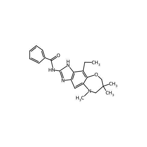 CCc1c2c(cc3nc(NC(=O)c4ccccc4)[nH]c13)N(C)CC(C)(C)CO2